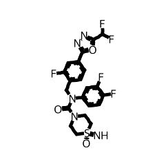 N=S1(=O)CCN(C(=O)N(Cc2ccc(-c3nnc(C(F)F)o3)cc2F)c2ccc(F)c(F)c2)CC1